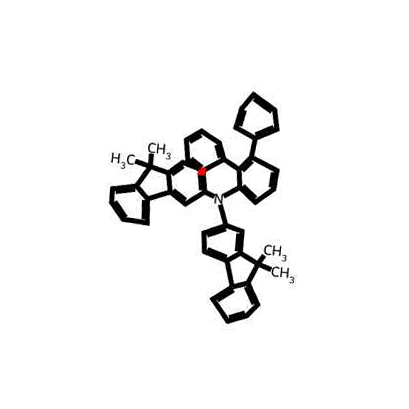 CC1(C)c2ccccc2-c2cc(N(c3ccc4c(c3)C(C)(C)c3ccccc3-4)c3cccc(-c4ccccc4)c3-c3ccccc3)ccc21